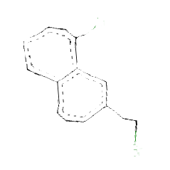 BrCc1ccc2cccc(Br)c2c1